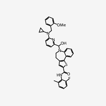 COc1ccccc1CN(c1cccc(C(O)N2CCc3cc(C(=O)Nc4c(C)cccc4F)sc3-c3ccccc32)n1)C1CC1